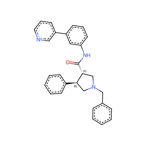 O=C(Nc1cccc(-c2cccnc2)c1)[C@@H]1CN(Cc2ccccc2)C[C@H]1c1ccccc1